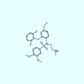 CNCCN(c1ccc(CI)cc1Cc1c(F)cccc1F)S(=O)(=O)c1ccc(OC)c(OC)c1